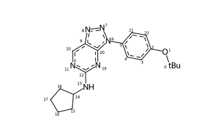 CC(C)(C)Oc1ccc(-n2nnc3cnc(NC4CCCC4)nc32)cc1